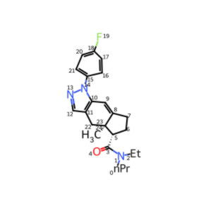 CCCN(CC)C(=O)[C@H]1CCC2=Cc3c(cnn3-c3ccc(F)cc3)C[C@@]21C